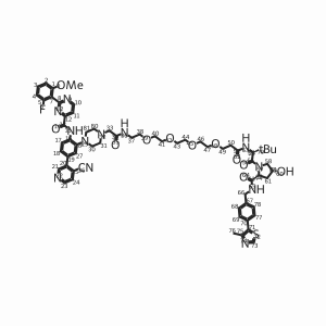 COc1cccc(F)c1-c1nccc(C(=O)Nc2ccc(-c3cnccc3C#N)cc2N2CCN(CC(=O)NCCOCCOCCOCCOCCC(=O)N[C@H](C(=O)N3C[C@H](O)C[C@H]3C(=O)NCc3ccc(-c4scnc4C)cc3)C(C)(C)C)CC2)n1